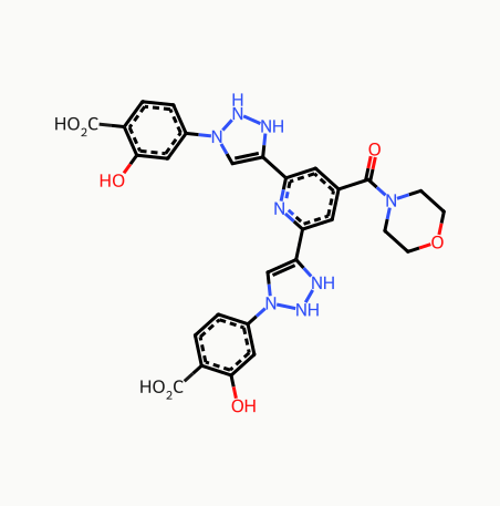 O=C(O)c1ccc(N2C=C(c3cc(C(=O)N4CCOCC4)cc(C4=CN(c5ccc(C(=O)O)c(O)c5)NN4)n3)NN2)cc1O